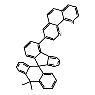 CC1(C)c2ccccc2C2(c3ccccc3-c3c(-c4cnc5c(ccc6cccnc65)c4)cccc32)c2ccccc21